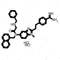 Cl.Cl.Cn1c(CCc2ccc(C(=N)N)cc2)nc2cc(N(Cc3cccc4ccccc34)C(=O)CNCc3ccccc3)ccc21